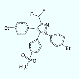 CCc1ccc(-c2c(C(F)F)nn(-c3ccc(CC)cc3)c2-c2ccc(S(C)(=O)=O)cc2)cc1